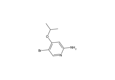 CC(C)Oc1cc(N)ncc1Br